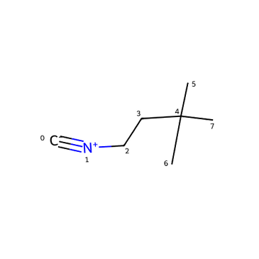 [C-]#[N+]CCC(C)(C)C